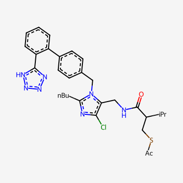 CCCCc1nc(Cl)c(CNC(=O)C(CSC(C)=O)C(C)C)n1Cc1ccc(-c2ccccc2-c2nnn[nH]2)cc1